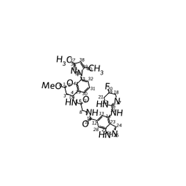 COC(=O)C[C@H](NC(=O)CNC(=O)c1cc(NC2=NCC(F)CN2)c2cn[nH]c2c1)c1cccc(-n2nc(C)cc2C)c1